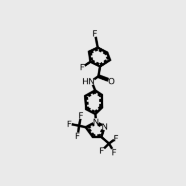 O=C(Nc1ccc(-n2nc(C(F)(F)F)cc2C(F)(F)F)cc1)c1ccc(F)cc1F